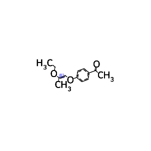 CCO/C(C)=C/Oc1ccc(C(C)=O)cc1